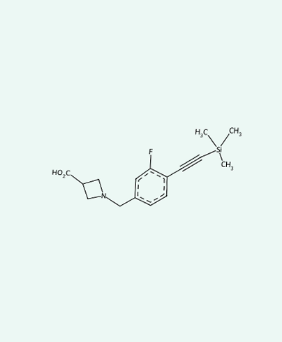 C[Si](C)(C)C#Cc1ccc(CN2CC(C(=O)O)C2)cc1F